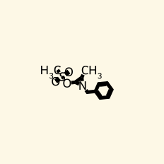 CC1C(OS(C)(=O)=O)N1Cc1ccccc1